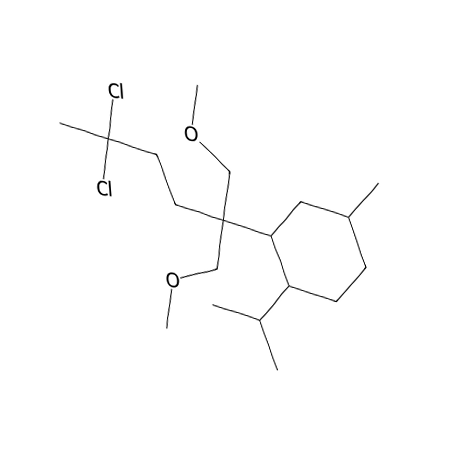 COCC(CCC(C)(Cl)Cl)(COC)C1CC(C)CCC1C(C)C